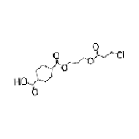 O=C(CCCl)OCCCOC(=O)C1CCC(C(=O)O)CC1